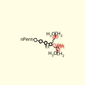 C=C(C)C(=O)CC(CO)(CO)COc1ccc(-c2ccc(-c3ccc(C4CCC(CCCCC)CC4)cc3)cc2CC)cc1CCCOC(=O)C(=C)C